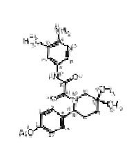 CC(=O)Oc1ccc([C@@H]2CCC(C)(C)CN2C(=O)C(=O)Nc2cnc(N)c(C)c2)cc1